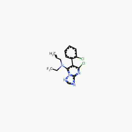 C=CCN(CC(F)(F)F)c1c(-c2ccccc2Cl)c(Cl)nc2ncnn12